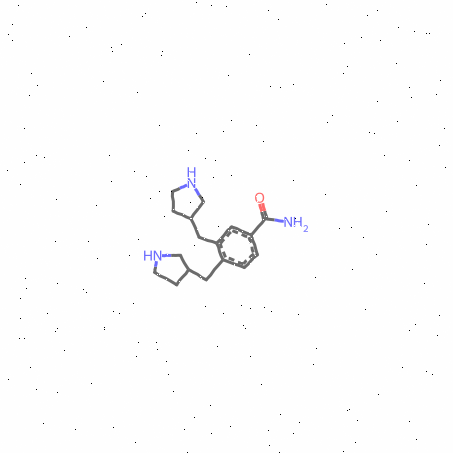 NC(=O)c1ccc(CC2CCNC2)c(CC2CCNC2)c1